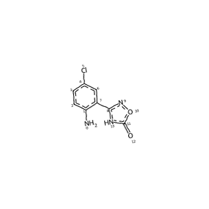 Nc1ccc(Cl)cc1-c1noc(=O)[nH]1